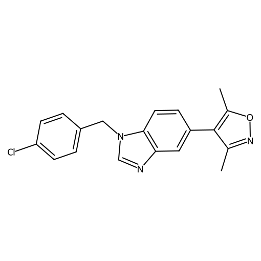 Cc1noc(C)c1-c1ccc2c(c1)ncn2Cc1ccc(Cl)cc1